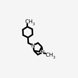 CC1CCC(CN2CC3CC2CN3C)CC1